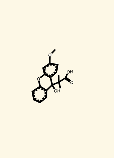 COc1ccc2c(c1)Oc1ccccc1C2(O)C(C)(C)C(=O)O